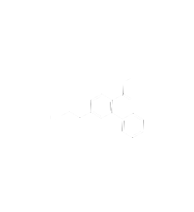 CCCc1ccc(C(=O)OC)c(-c2ccccc2)c1